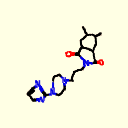 CC1CC2C(=O)N(CCCN3CCN(c4ncccn4)CC3)C(=O)C2CC1C